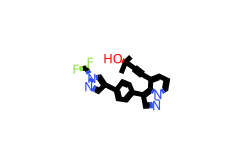 CC(C)(O)C#Cc1cccn2ncc(-c3ccc(-c4cnn(C(F)F)c4)cc3)c12